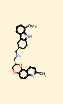 COc1cccc2c3c([nH]c12)CC[C@@H](CNC[C@H]1COc2ccc4nc(C)ccc4c2O1)C3